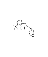 CC(C)(C)c1cccc(CCCN2CCOCC2)c1O